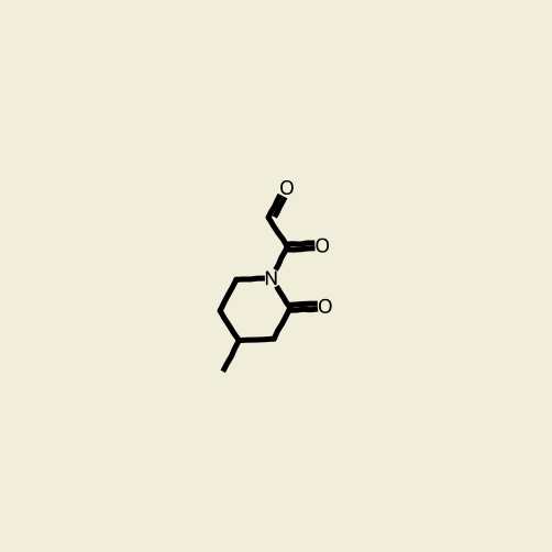 CC1CCN(C(=O)C=O)C(=O)C1